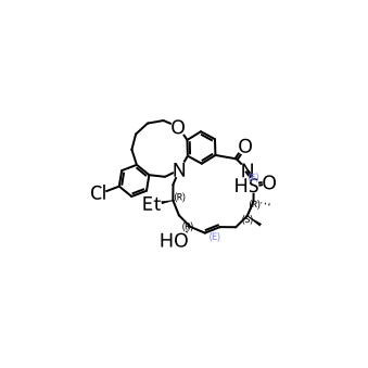 CC[C@@H]1C[C@@H](O)/C=C/C[C@H](C)[C@@H](C)/[SH](=O)=N\C(=O)c2ccc3c(c2)N(Cc2ccc(Cl)cc2CCCCO3)C1